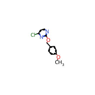 COc1ccc(COc2nccc(Cl)n2)cc1